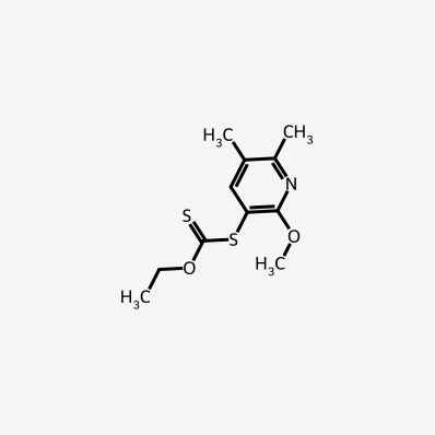 CCOC(=S)Sc1cc(C)c(C)nc1OC